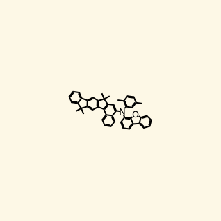 Cc1ccc(C)c(N(c2cc3c(c4ccccc24)-c2cc4c(cc2C3(C)C)-c2ccccc2C4(C)C)c2cccc3c2oc2ccccc23)c1